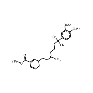 CCCOC(=O)C1=CC(CCN(C)CCCC(C#N)(c2ccc(OC)c(OC)c2)C(C)C)CC=C1